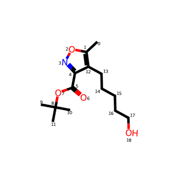 Cc1onc(C(=O)OC(C)(C)C)c1CCCCCO